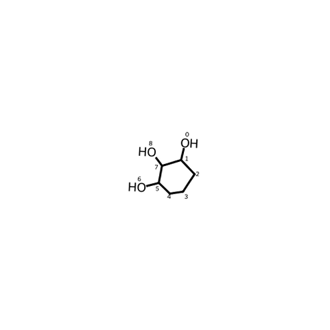 OC1CCCC(O)C1O